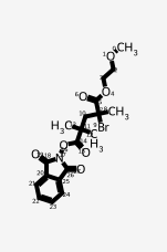 COCCOC(=O)C(C)(Br)CC(C)(C)C(=O)ON1C(=O)c2ccccc2C1=O